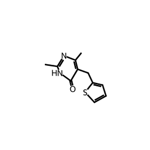 Cc1nc(C)c(Cc2cccs2)c(=O)[nH]1